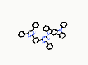 c1ccc(-c2cc(-c3ccccc3)nc(-c3cccc(-c4nc(-c5ccccc5)nc(-n5c6ccccc6c6cc7c(cc65)c5ccccc5n7-c5ccccc5)n4)c3)n2)cc1